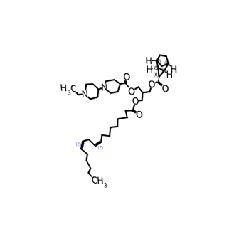 CCCCC/C=C\C/C=C\CCCCCCCC(=O)OCC(COC(=O)C1CCN(C2CCN(CC)CC2)CC1)COC(=O)[C@@H]1[C@H]2[C@@H]3CC[C@@H](C3)[C@@H]12